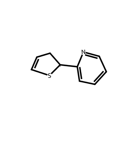 C1=CS[C](c2ccccn2)C1